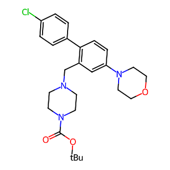 CC(C)(C)OC(=O)N1CCN(Cc2cc(N3CCOCC3)ccc2-c2ccc(Cl)cc2)CC1